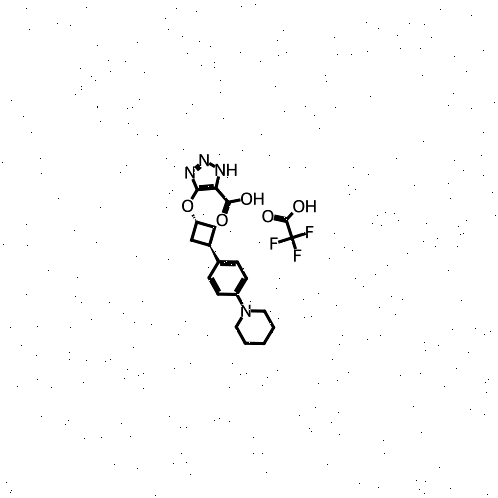 O=C(O)C(F)(F)F.O=C(O)c1[nH]nnc1O[C@H]1C[C@H](c2ccc(N3CCCCC3)cc2)C1